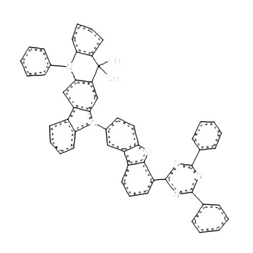 CC1(C)c2ccccc2N(c2ccccc2)c2cc3c4ccccc4n(-c4ccc5oc6c(-c7nc(-c8ccccc8)nc(-c8ccccc8)n7)cccc6c5c4)c3cc21